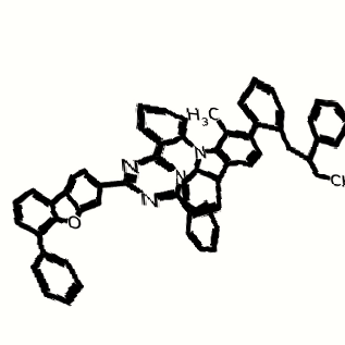 CCC(Cc1ccccc1-c1ccc2c(c1C)N(c1ccccc1-c1nc(-c3ccccc3)nc(-c3ccc4c(c3)oc3c(-c5ccccc5)cccc34)n1)C1C=CC=CC21)c1ccccc1